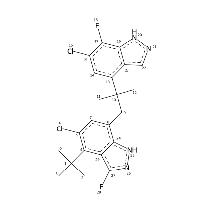 CC(C)(C)c1c(Cl)cc(CC(C)(C)c2cc(Cl)c(F)c3[nH]ncc23)c2[nH]nc(F)c12